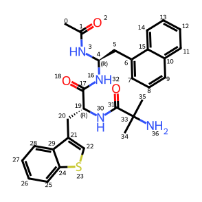 CC(=O)N[C@@H](Cc1cccc2ccccc12)NC(=O)[C@@H](Cc1csc2ccccc12)NC(=O)C(C)(C)N